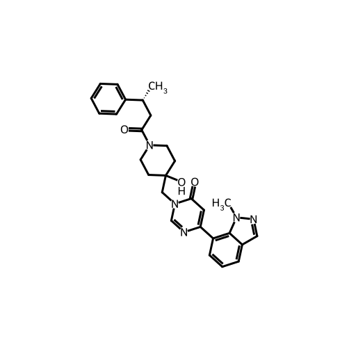 C[C@H](CC(=O)N1CCC(O)(Cn2cnc(-c3cccc4cnn(C)c34)cc2=O)CC1)c1ccccc1